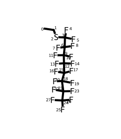 CCSC(F)(F)C(F)(F)C(F)(F)C(F)(F)C(F)(F)C(F)(F)C(F)(F)C(F)(F)F